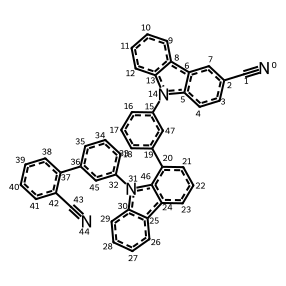 N#Cc1ccc2c(c1)c1ccccc1n2-c1cccc(-c2cccc3c4ccccc4n(-c4cccc(-c5ccccc5C#N)c4)c23)c1